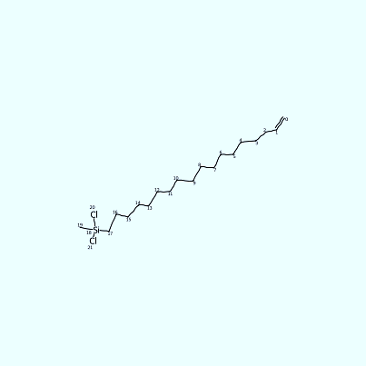 C=CCCCCCCCCCCCCCCCC[Si](C)(Cl)Cl